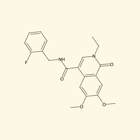 CCn1cc(C(=O)NCc2ccccc2F)c2cc(OC)c(OC)cc2c1=O